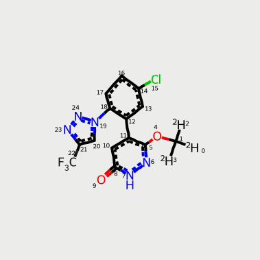 [2H]C([2H])([2H])Oc1n[nH]c(=O)cc1-c1cc(Cl)ccc1-n1cc(C(F)(F)F)nn1